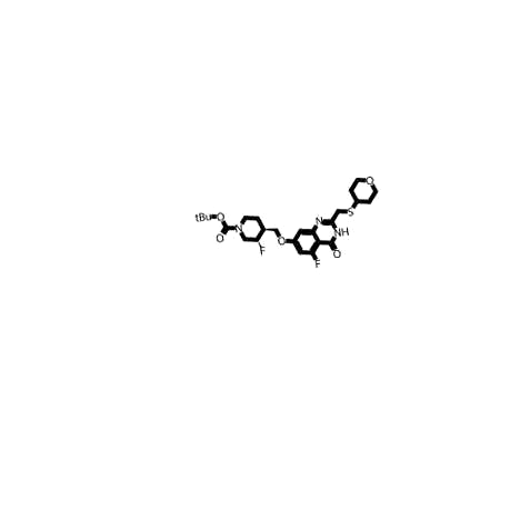 CC(C)(C)OC(=O)N1CC[C@@H](COc2cc(F)c3c(=O)[nH]c(CSC4CCOCC4)nc3c2)[C@H](F)C1